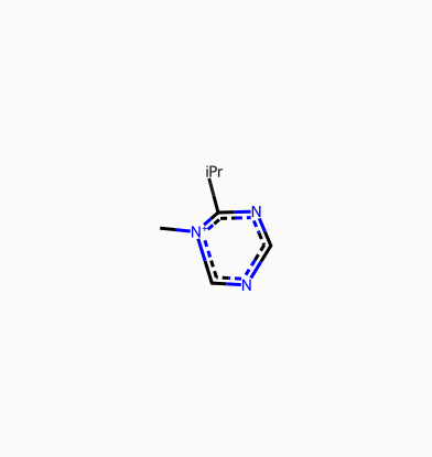 CC(C)c1ncnc[n+]1C